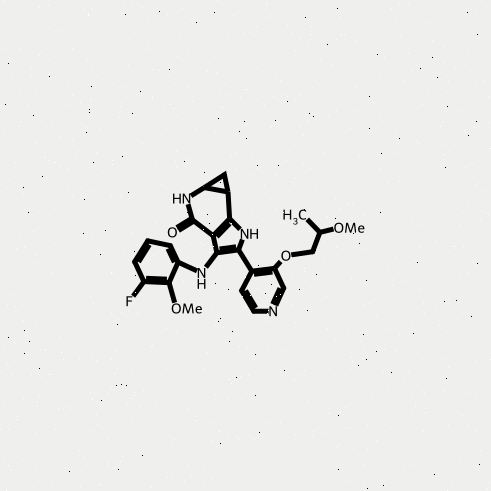 COc1c(F)cccc1Nc1c(-c2ccncc2OCC(C)OC)[nH]c2c1C(=O)NC1CC21